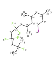 CC(F)(CC(F)(F)CC(F)(F)CC(CC(CC(CCI)C(F)(F)F)C(F)(F)F)C(F)(F)F)C(F)(F)F